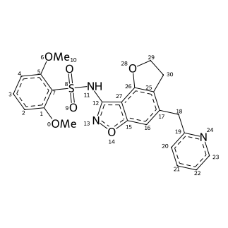 COc1cccc(OC)c1S(=O)(=O)Nc1noc2cc(Cc3ccccn3)c3c(c12)OCC3